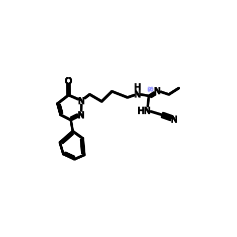 CC/N=C(\NC#N)NCCCCn1nc(-c2ccccc2)ccc1=O